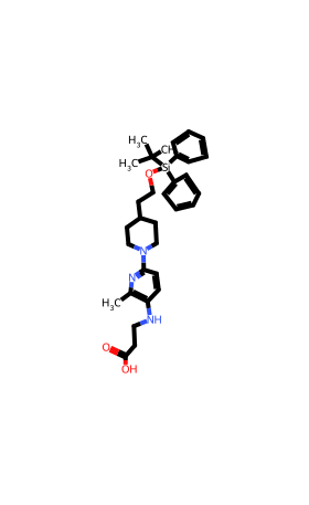 Cc1nc(N2CCC(CCO[Si](c3ccccc3)(c3ccccc3)C(C)(C)C)CC2)ccc1NCCC(=O)O